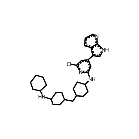 Clc1cc(-c2c[nH]c3ncccc23)cc(NC2CCC(CC3CCC(NC4CCCCC4)CC3)CC2)n1